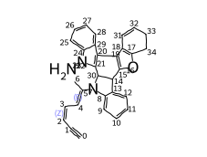 C#C/C=C\C=C(/C)N1c2ccccc2C2c3oc4c(c3-c3c(n(N)c5ccccc35)C21)C=CCC4